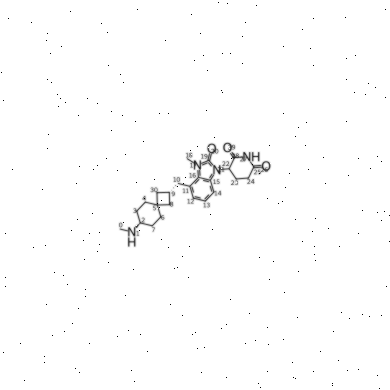 CN[C@H]1CCC2(CC1)C[C@@H](Cc1cccc3c1n(C)c(=O)n3C1CCC(=O)NC1=O)C2